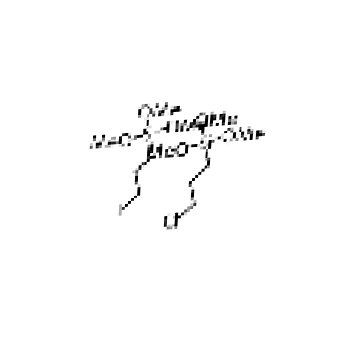 CO[Si](CCCCl)(OC)OC.CO[Si](CCCI)(OC)OC